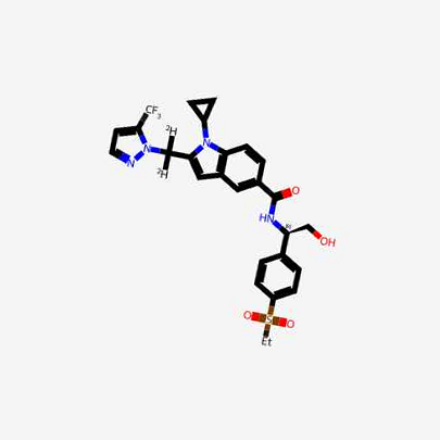 [2H]C([2H])(c1cc2cc(C(=O)N[C@@H](CO)c3ccc(S(=O)(=O)CC)cc3)ccc2n1C1CC1)n1nccc1C(F)(F)F